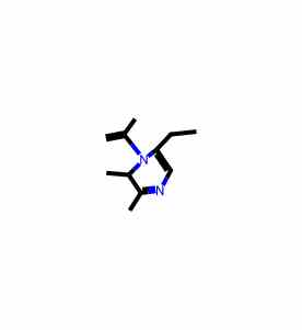 C=C(C)N1C(CC)=CN=C(C)C1C